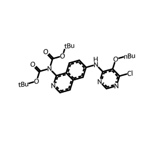 CCCCOc1c(Cl)ncnc1Nc1ccc2c(N(C(=O)OC(C)(C)C)C(=O)OC(C)(C)C)nccc2c1